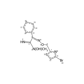 CN(O)C(=N)/C(=N\OCc1nc(Br)cs1)c1ccccc1